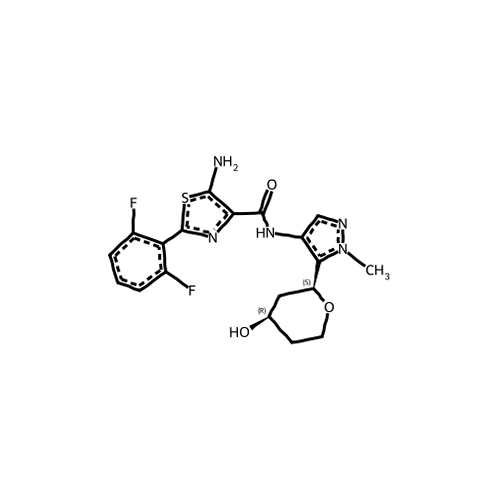 Cn1ncc(NC(=O)c2nc(-c3c(F)cccc3F)sc2N)c1[C@@H]1C[C@H](O)CCO1